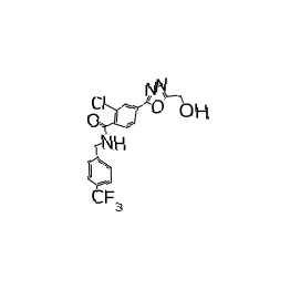 O=C(NCc1ccc(C(F)(F)F)cc1)c1ccc(-c2nnc(CO)o2)cc1Cl